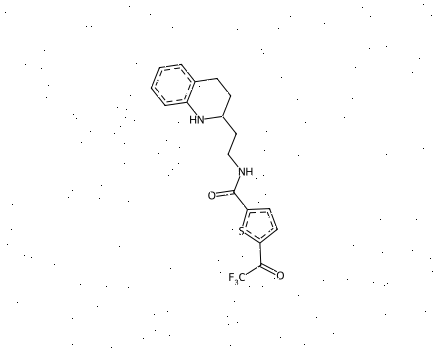 O=C(NCCC1CCc2ccccc2N1)c1ccc(C(=O)C(F)(F)F)s1